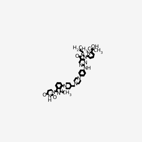 C=CCn1c(=O)c2cnc(Nc3ccc(N4CCN(CC5CCN(c6cccc7c(N8CCC(=O)NC8=O)nn(C)c67)CC5)CC4)cc3)nc2n1-c1cccc(C(C)(C)O)n1